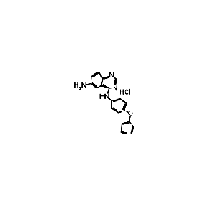 Cl.Nc1ccc2ncnc(Nc3ccc(Oc4ccccc4)cc3)c2c1